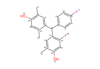 Cc1cc(C(c2ccc(I)cc2)c2cc(C)c(O)cc2I)c(C)cc1O